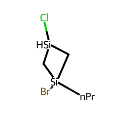 CCC[Si]1(Br)C[SiH](Cl)C1